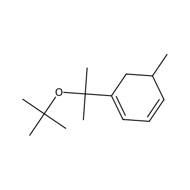 CC1C=CC=C(C(C)(C)OC(C)(C)C)C1